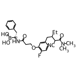 CCC(Cc1ccc(F)c(OCCC(=O)N[C@@H](Cc2ccccc2)B(O)O)c1)C(C#N)C(=O)N(C)C